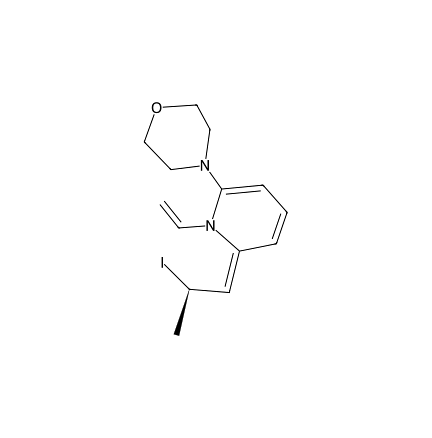 C=CN1C(N2CCOCC2)=CC=C/C1=C/[C@@H](C)I